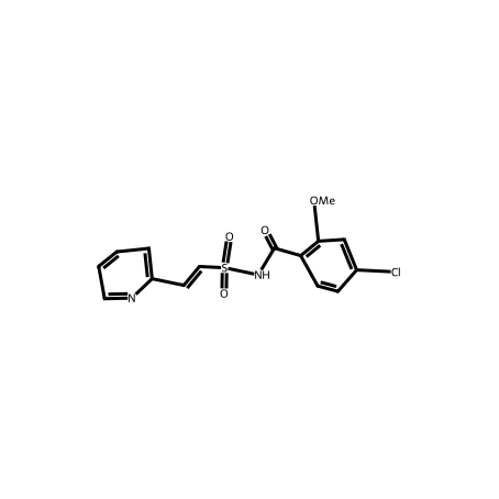 COc1cc(Cl)ccc1C(=O)NS(=O)(=O)/C=C/c1ccccn1